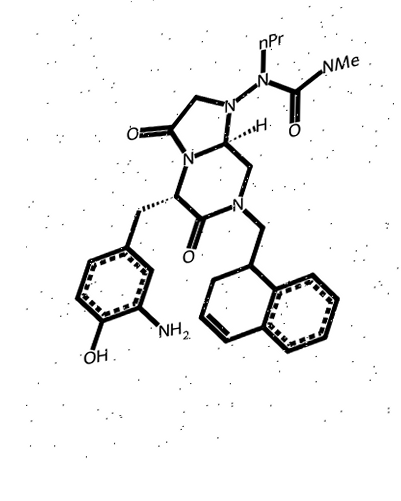 CCCN(C(=O)NC)N1CC(=O)N2[C@@H](Cc3ccc(O)c(N)c3)C(=O)N(CC3CC=Cc4ccccc43)C[C@@H]21